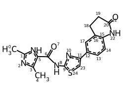 Cc1nc(C)c(C(=O)Nc2nc(-c3ccc4c(c3)CCC(=O)N4)cs2)[nH]1